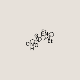 CCN[C@@H]1CCCC[C@@H]1N(CC)c1ccc2c(c1)CN(C1CCC(=O)NC1=O)C2=O